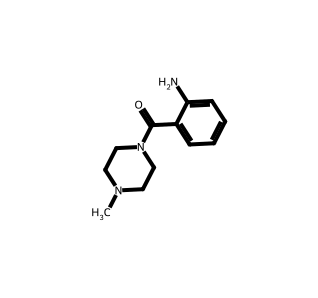 CN1CCN(C(=O)c2ccccc2N)CC1